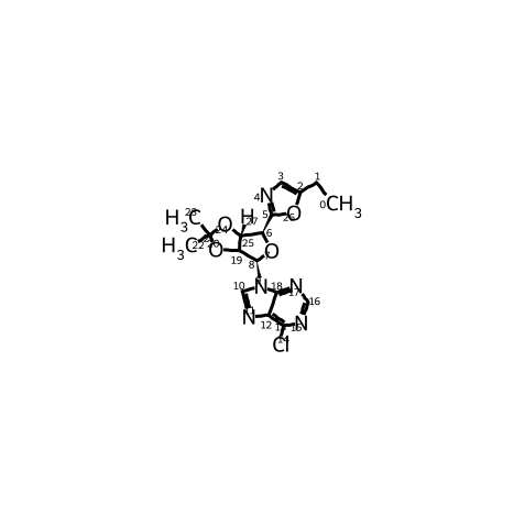 CCc1cnc([C@H]2O[C@@H](n3cnc4c(Cl)ncnc43)C3OC(C)(C)O[C@@H]32)o1